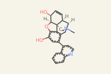 CN1CC[C@]23c4c5c(-c6ccnc7ccccc67)cc(O)c4O[C@H]2[C@@H](O)C=C[C@H]3[C@H]1C5